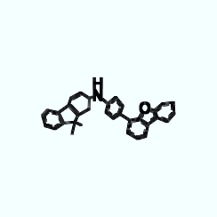 CC1(C)C2=C(C=CC(Nc3ccc(-c4cccc5c4oc4ccccc45)cc3)C2)c2ccccc21